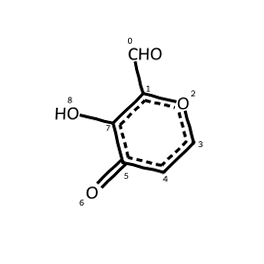 O=Cc1occc(=O)c1O